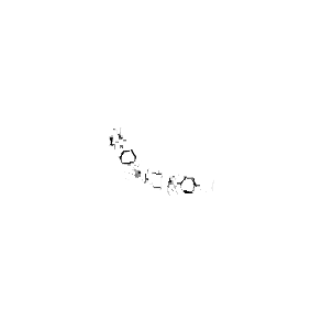 O=S(=O)(N=S1CCN(S(=O)(=O)c2ccc(Cl)cc2)CC1)c1ccc(-n2ccnn2)cc1